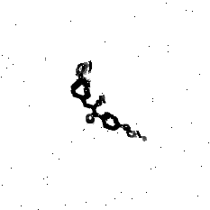 COc1ccc(C(=O)C(C#N)=Cc2ccc(O)cc2)cc1